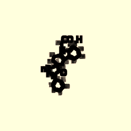 CCCC1(C(=O)N(F)c2ccccc2)CCc2c(c3ccccc3n2CC(=O)O)C1